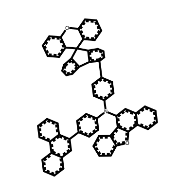 c1ccc2c(c1)Oc1ccccc1C21c2ccccc2-c2c(-c3ccc(N(c4ccc(-c5cc6ccccc6c6ccccc56)cc4)c4cc5ccccc5c5oc6ccccc6c45)cc3)cccc21